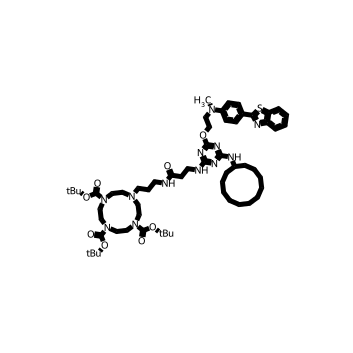 CN(CCOc1nc(NCCC(=O)NCCCN2CCN(C(=O)OC(C)(C)C)CCN(C(=O)OC(C)(C)C)CCN(C(=O)OC(C)(C)C)CC2)nc(NC2CCCCCCCCCCC2)n1)c1ccc(-c2nc3ccccc3s2)cc1